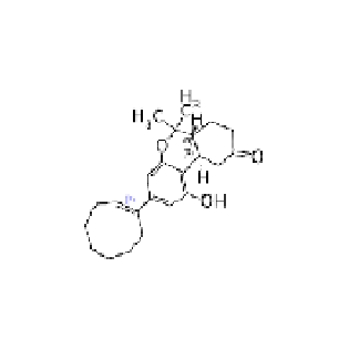 CC1(C)Oc2cc(/C3=C/CCCCCC3)cc(O)c2[C@@H]2CC(=O)CC[C@H]21